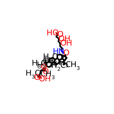 C=C(C)[C@@H]1CC[C@]2(C(=O)NCCC(O)CC(O)CC(=O)O)CC[C@]3(C)[C@H](CC[C@@H]4[C@@]5(C)CC[C@H](OC(=O)CC(C)(C)C(=O)O)C(C)(C)[C@@H]5CC[C@]43C)[C@@H]12